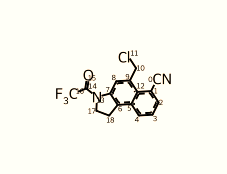 N#Cc1cccc2c3c(cc(CCl)c12)N(C(=O)C(F)(F)F)CC3